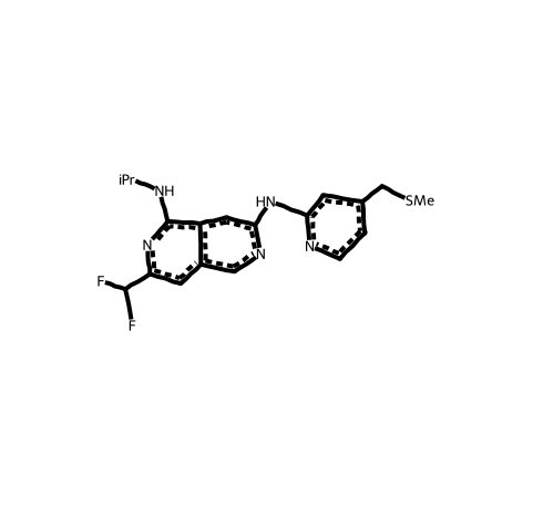 CSCc1ccnc(Nc2cc3c(NC(C)C)nc(C(F)F)cc3cn2)c1